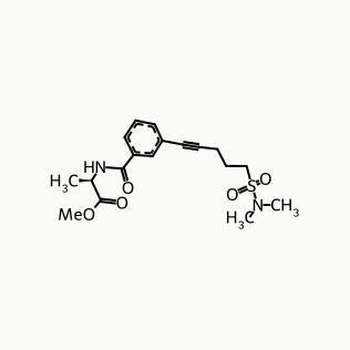 COC(=O)[C@@H](C)NC(=O)c1cccc(C#CCCCS(=O)(=O)N(C)C)c1